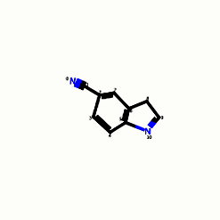 N#Cc1ccc2c(c1)CC=N2